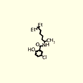 CCN(CC)CCCCC(C)NC(=O)c1cc(Cl)ccc1O